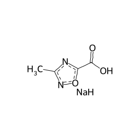 Cc1noc(C(=O)O)n1.[NaH]